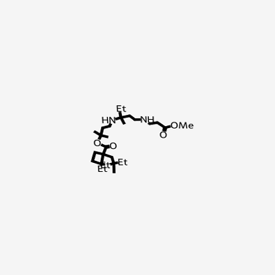 CCC(C)(CC)CC1(C(=O)OC(C)(C)CCNC(C)(CC)CCNCCC(=O)OC)CCC1(C)CC